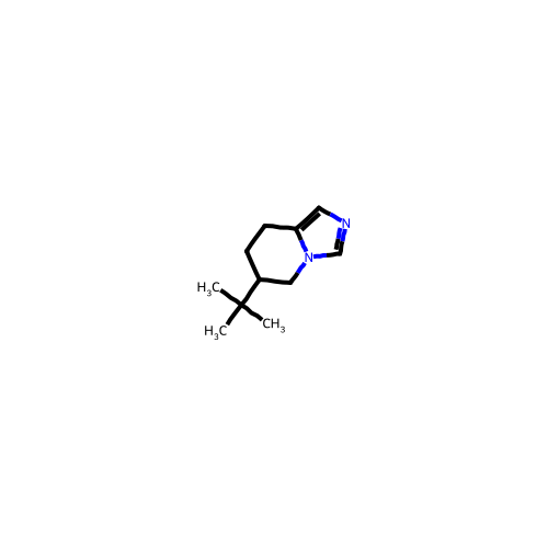 CC(C)(C)C1CCc2cncn2C1